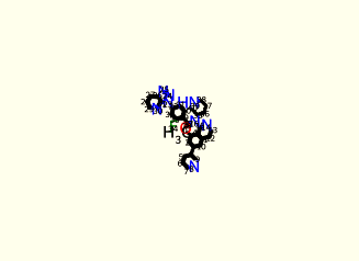 Cc1cc(-c2cccnc2)cc2ccnc(N(C(=O)c3ccc(-n4nnc5cccnc54)cc3F)[C@@H]3CCCNC3)c12